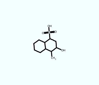 CC1C(O)CC(S(=O)(=O)O)C2CCCCC12